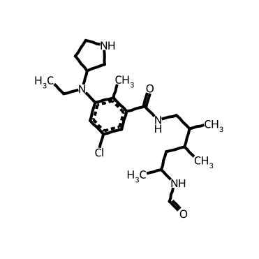 CCN(c1cc(Cl)cc(C(=O)NCC(C)C(C)CC(C)NC=O)c1C)C1CCNC1